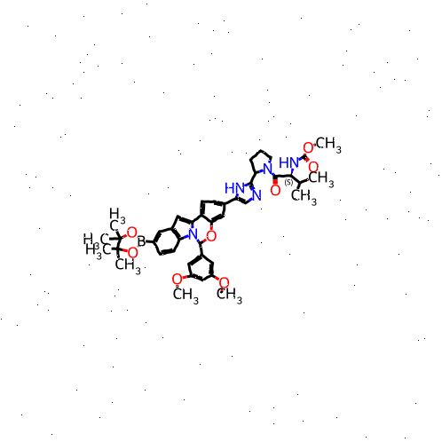 COC(=O)N[C@H](C(=O)N1CCCC1c1ncc(-c2ccc3c(c2)OC(c2cc(OC)cc(OC)c2)n2c-3cc3cc(B4OC(C)(C)C(C)(C)O4)ccc32)[nH]1)C(C)C